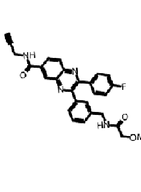 C#CCNC(=O)c1ccc2nc(-c3ccc(F)cc3)c(-c3cccc(CNC(=O)COC)c3)nc2c1